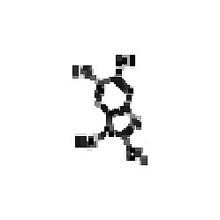 Cn1c(C(F)(F)F)nc2cc(O)c(O)cc21